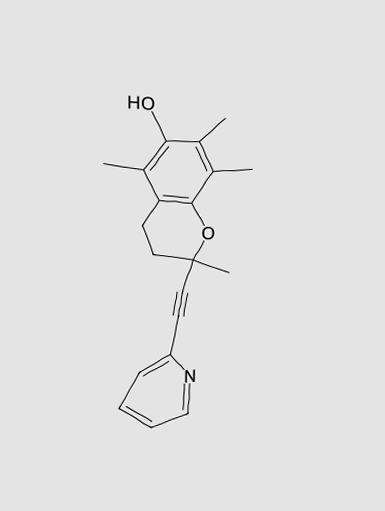 Cc1c(C)c2c(c(C)c1O)CCC(C)(C#Cc1ccccn1)O2